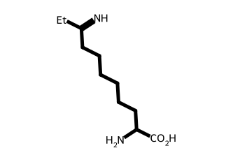 CCC(=N)CCCCCCC(N)C(=O)O